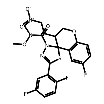 CON(C)C(=O)N1N=C(c2cc(F)ccc2F)SC12c1cc(F)ccc1OCC2CC[N+](=O)[O-]